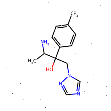 CC(N)C(O)(Cn1cncn1)c1ccc(C(F)(F)F)cc1